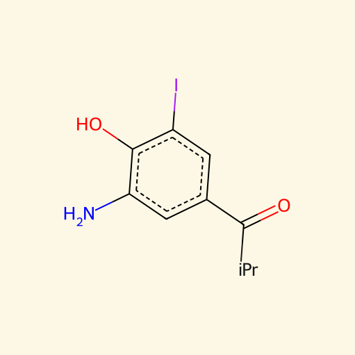 CC(C)C(=O)c1cc(N)c(O)c(I)c1